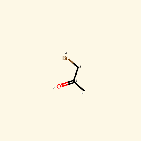 CC(=O)[CH]Br